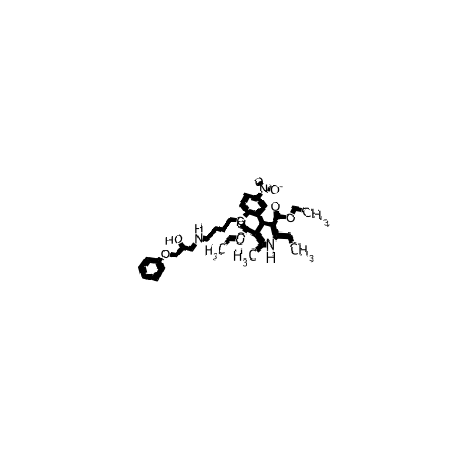 CCOC(=O)C1=C(C)NC(CC)=C(C(=O)OCC)C1c1cc([N+](=O)[O-])ccc1OCCCCNCC(O)COc1ccccc1